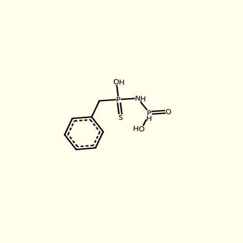 O=[PH](O)NP(O)(=S)Cc1ccccc1